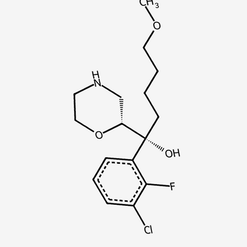 COCCCC[C@@](O)(c1cccc(Cl)c1F)[C@H]1CNCCO1